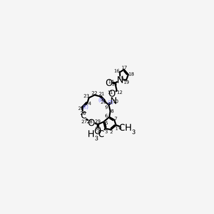 Cc1cc(C)c2c(c1)CC(=N/OCC(=O)N1CC=CC1)/C=C/CC/C=C/CCOC2=O